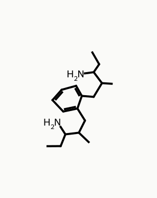 CCC(N)C(C)Cc1ccccc1CC(C)C(N)CC